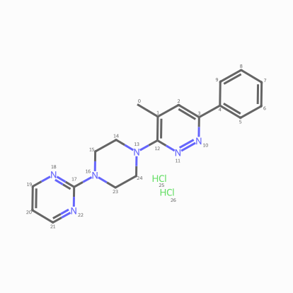 Cc1cc(-c2ccccc2)nnc1N1CCN(c2ncccn2)CC1.Cl.Cl